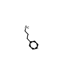 CC(=O)CCCc1cc[c]cc1